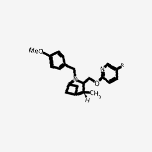 COc1ccc(CN2C3CC(C3)[C@@H](C)C2COc2ccc(F)cn2)cc1